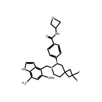 COc1cc(C)c2[nH]ccc2c1CN1CCC2(C[C@@H]1c1ccc(C(=O)NC3COC3)cc1)CC(F)(F)C2